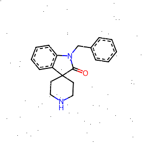 O=C1N(Cc2ccccc2)c2ccccc2C12CCNCC2